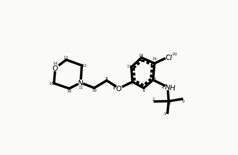 CC(C)(C)Nc1cc(OCCN2CCOCC2)ccc1Cl